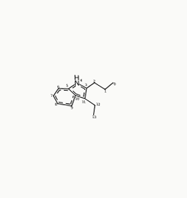 CCCc1[nH]c2ccccc2c1CC